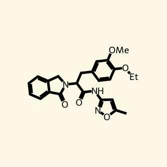 CCOc1ccc(CC(C(=O)Nc2cc(C)on2)N2Cc3ccccc3C2=O)cc1OC